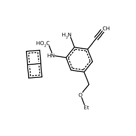 C#Cc1cc(COCC)cc(NC(=O)O)c1N.c1cc2ccc1-2